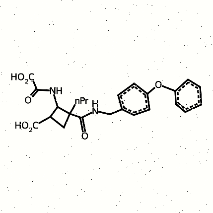 CCCC1(C(=O)NCc2ccc(Oc3ccccc3)cc2)CC(C(=O)O)C1NC(=O)C(=O)O